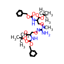 CN(OCC(NC(=O)OCc1ccccc1)C(=O)OC(C)(C)C)C(N)=NOCC(NC(=O)OCc1ccccc1)C(=O)OC(C)(C)C